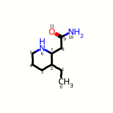 CCC1CCCNC1CC(N)=O